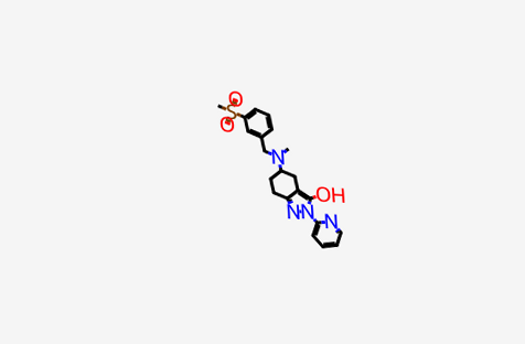 CN(Cc1cccc(S(C)(=O)=O)c1)C1CCc2nn(-c3ccccn3)c(O)c2C1